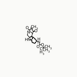 CN1C(=O)C2CN(Cc3[nH]c4ccc(NC(=O)OC(C)(C)C)cc4c32)C1=O